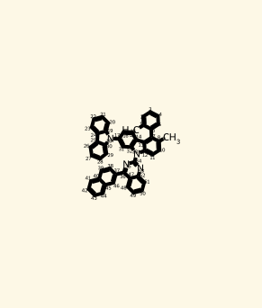 Cc1ccccc1-c1c(C)ccc2c1c1ccc(-n3c4ccccc4c4ccccc43)cc1n2-c1nc(-c2ccc3ccccc3c2)c2ccccc2n1